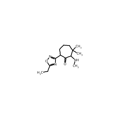 CCc1nc(C2CCCC(C)(C)C(NC)C2=O)no1